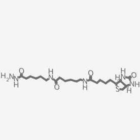 NNC(=O)CCCCCNC(=O)CCCCCNC(=O)CCCCC1SC[C@@H]2NC(=O)N[C@H]12